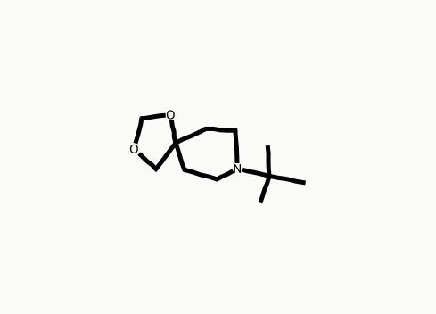 CC(C)(C)N1CCC2(CC1)COCO2